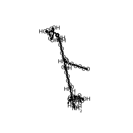 CCNC(=O)C(CCCNC(=N)N)NC(=O)C(CCCCNC(=O)COCCOCCOCCOCCNC(=O)CCC(NC(=O)COCCOCCOCCOCCNC(=S)Nc1ccc(CC2CN(CC(=O)O)CCN(CC(=O)O)CCN2CC(=O)O)cc1)C(=O)NCCOCCOCCOCCOCC=O)NC(=O)CNC(=O)C(CC(=O)O)NC=O